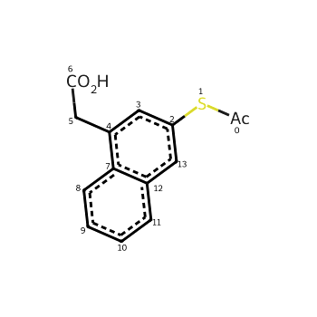 CC(=O)Sc1cc(CC(=O)O)c2ccccc2c1